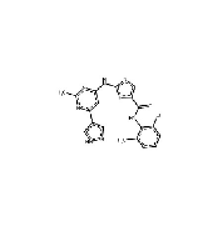 Cc1nc(Nc2ncc(C(=O)Nc3c(C)cccc3Cl)s2)cc(-c2cn[nH]c2)n1